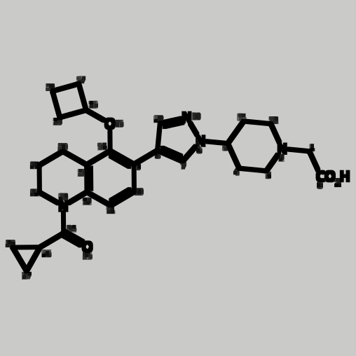 O=C(O)CN1CCC(n2cc(-c3ccc4c(c3OC3CCC3)CCCN4C(=O)C3CC3)cn2)CC1